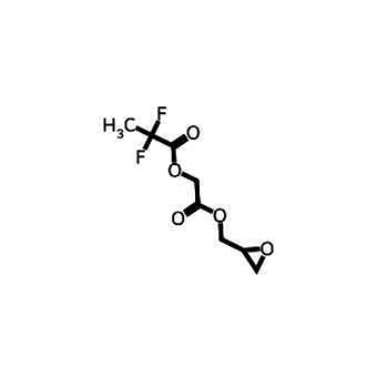 CC(F)(F)C(=O)OCC(=O)OCC1CO1